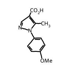 COc1ccc(-n2ncc(C(=O)O)c2C)cc1